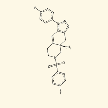 C[C@]12Cc3cnn(-c4ccc(F)cc4)c3C=C1CCN(S(=O)(=O)c1ccc(F)cc1)C2